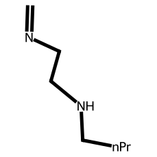 C=NCCNCCCC